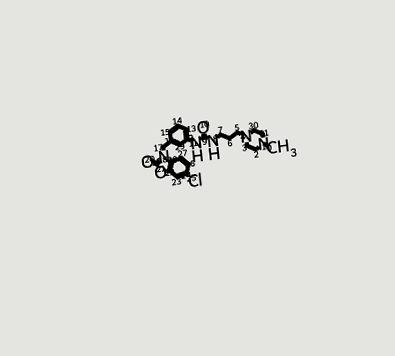 CN1CCN(CCCNC(=O)Nc2cccc(Cn3c(=O)oc4cc(Cl)ccc43)c2)CC1